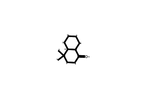 CC1(C)CCC(=O)C2CCCCC21